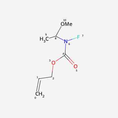 C=CCOC(=O)N(F)C(C)OC